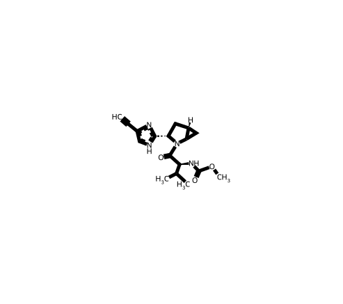 C#Cc1c[nH]c([C@@H]2C[C@H]3CC3N2C(=O)[C@@H](NC(=O)OC)C(C)C)n1